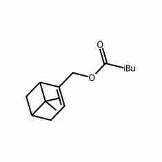 CCC(C)C(=O)OCC1=CCC2CC1C2(C)C